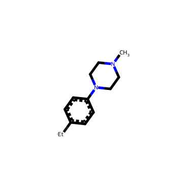 C[CH]c1ccc(N2CCN(C)CC2)cc1